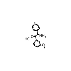 COc1cccc(C(=O)C(N)c2ccncc2)c1.Cl